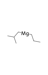 CC[CH2][Mg][CH2]C(C)C